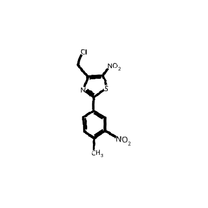 Cc1ccc(-c2nc(CCl)c([N+](=O)[O-])s2)cc1[N+](=O)[O-]